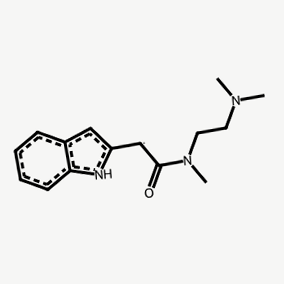 CN(C)CCN(C)C(=O)[CH]c1cc2ccccc2[nH]1